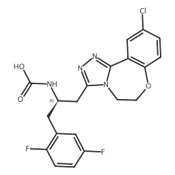 O=C(O)N[C@H](Cc1cc(F)ccc1F)Cc1nnc2n1CCOc1ccc(Cl)cc1-2